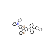 c1ccc(N(c2ccccc2)c2ccc3c(c2)Sc2cc(-c4c5ccccc5c(-c5ccc6ccccc6c5)c5ccccc45)cc4c2B3c2ccccc2S4)cc1